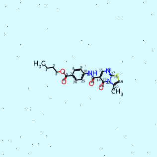 CCCCOC(=O)c1ccc(NC(=O)c2cnc3scc(C)n3c2=O)cc1